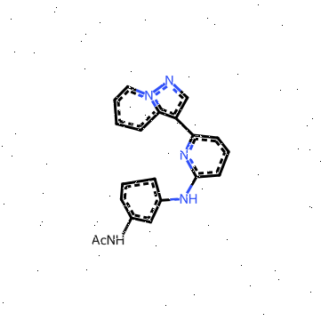 CC(=O)Nc1cccc(Nc2cccc(-c3cnn4ccccc34)n2)c1